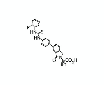 CC(C)[C@@H](C(=O)O)N1Cc2ccc(-c3ccc(NC(=S)Nc4ccccc4F)cc3)cc2C1=O